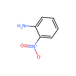 Nc1c[c]ccc1[N+](=O)[O-]